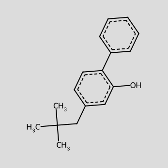 CC(C)(C)Cc1ccc(-c2ccccc2)c(O)c1